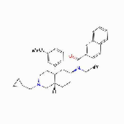 COc1cccc([C@@]23CCN(CC4CC4)C[C@H]2CC[C@H](N(CC(C)C)C(=O)c2ccc4ccccc4c2)C3)c1